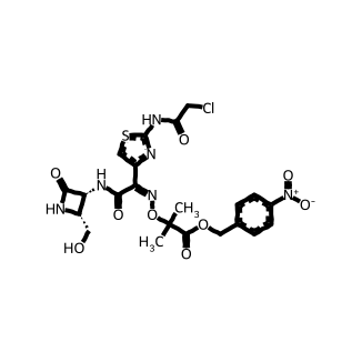 CC(C)(O/N=C(\C(=O)N[C@H]1C(=O)N[C@H]1CO)c1csc(NC(=O)CCl)n1)C(=O)OCc1ccc([N+](=O)[O-])cc1